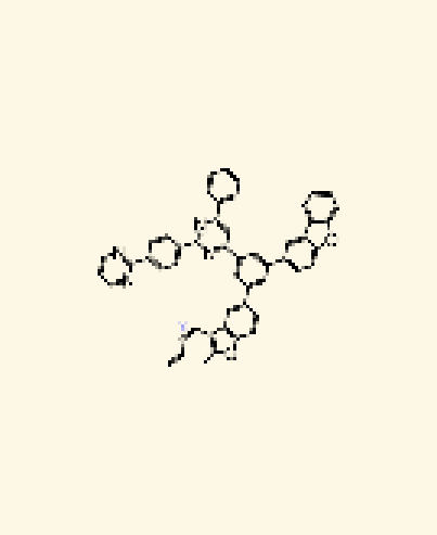 C=C/C=C\c1c(C)oc2ccc(-c3cc(-c4ccc5oc6ccccc6c5c4)cc(-c4cc(-c5ccccc5)nc(-c5ccc(-c6ncccn6)cc5)n4)c3)cc12